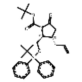 C=CC[C@H]1CC(=O)N(C(=O)OC(C)(C)C)[C@@H]1CO[Si](c1ccccc1)(c1ccccc1)C(C)(C)C